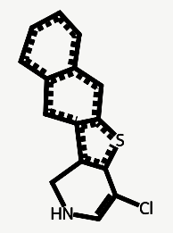 ClC1=CNCc2c1sc1cc3ccccc3cc21